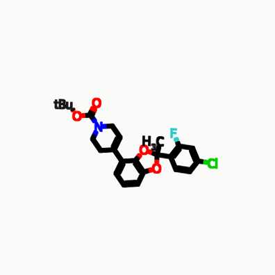 CC(C)(C)OC(=O)N1CC=C(c2cccc3c2OC(C)(c2ccc(Cl)cc2F)O3)CC1